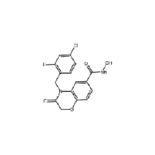 O=C(NO)c1ccc2c(c1)N(Cc1ccc(Cl)cc1F)C(=O)CO2